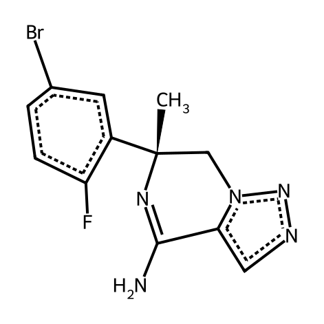 C[C@@]1(c2cc(Br)ccc2F)Cn2nncc2C(N)=N1